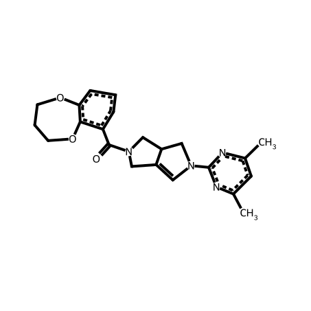 Cc1cc(C)nc(N2C=C3CN(C(=O)c4cccc5c4OCCCO5)CC3C2)n1